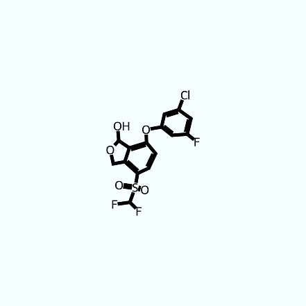 O=S(=O)(c1ccc(Oc2cc(F)cc(Cl)c2)c2c1COC2O)C(F)F